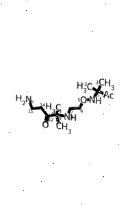 CC(=O)C(C)(C)NOCCNC(C)(C)C(=O)CCN